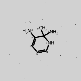 CC1(N)NC=CC=C1N